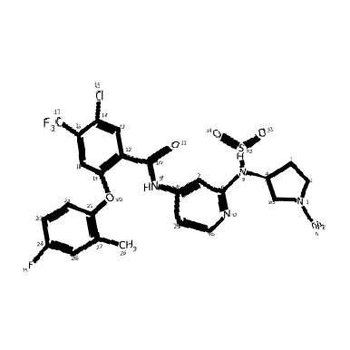 CCCN1CC[C@H](N(c2cc(NC(=O)c3cc(Cl)c(C(F)(F)F)cc3Oc3ccc(F)cc3C)ccn2)[SH](=O)=O)C1